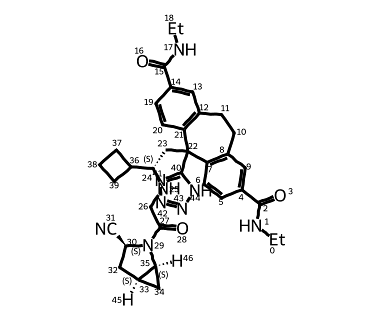 CCNC(=O)c1ccc2c(c1)CCc1cc(C(=O)NCC)ccc1C2(C[C@H](NCC(=O)N1[C@H](C#N)C[C@@H]2C[C@@H]21)C1CCC1)c1nnn[nH]1